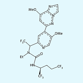 CCN(C(=O)N[C@@H](CCC(F)(F)F)C(F)(F)F)C(c1cc(-c2cc(OC)c3nccn3n2)c(OC)cn1)C(F)(F)F